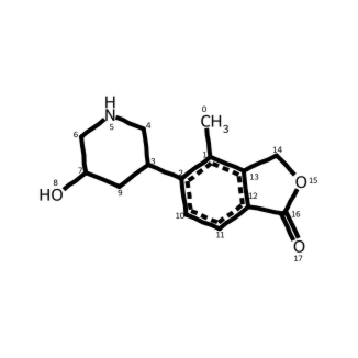 Cc1c(C2CNCC(O)C2)ccc2c1COC2=O